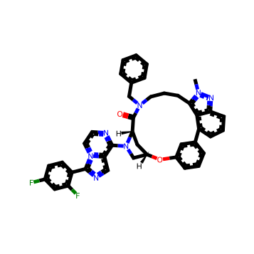 Cn1nc2cccc3c2c1CCCN(Cc1ccccc1)C(=O)[C@@H]1C[C@@H](CN1c1nccn2c(-c4ccc(F)cc4F)ncc12)Oc1cccc-3c1